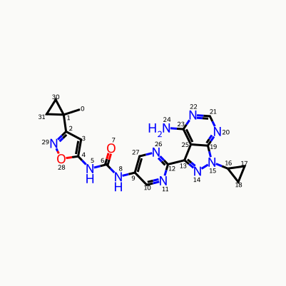 CC1(c2cc(NC(=O)Nc3cnc(-c4nn(C5CC5)c5ncnc(N)c45)nc3)on2)CC1